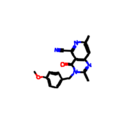 COc1ccc(Cn2c(C)nc3cc(C)nc(C#N)c3c2=O)cc1